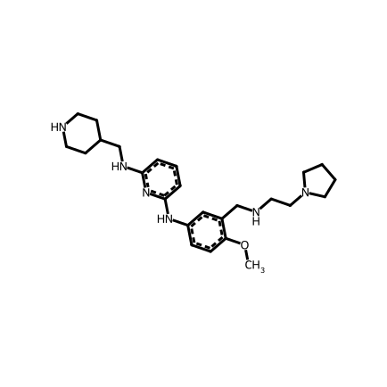 COc1ccc(Nc2cccc(NCC3CCNCC3)n2)cc1CNCCN1CCCC1